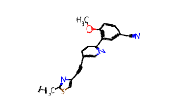 COc1ccc(C#N)cc1-c1ccc(C#Cc2csc(C)n2)cn1